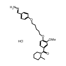 COc1cc(C(=O)N2CCCCC2C)ccc1OCCCCCOc1ccc(C=NN)cc1.Cl